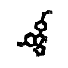 CCOC1CCN(C(=O)c2ccc(C#N)cc2C2(C(C)C)C=CN=N2)CC1